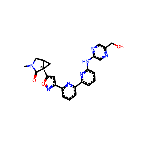 CN1CC2C[C@]2(c2cc(-c3cccc(-c4cccc(Nc5cnc(CO)cn5)n4)n3)no2)C1=O